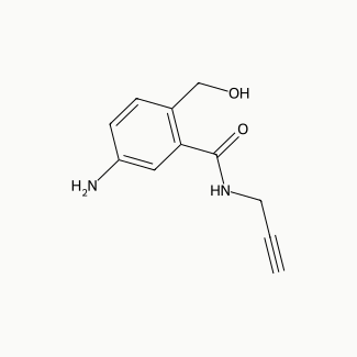 C#CCNC(=O)c1cc(N)ccc1CO